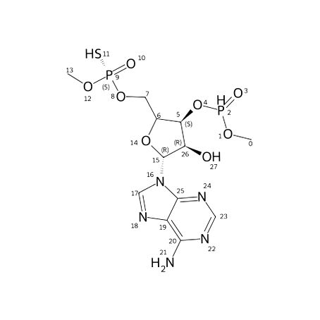 CO[PH](=O)O[C@@H]1C(CO[P@@](=O)(S)OC)O[C@@H](n2cnc3c(N)ncnc32)[C@@H]1O